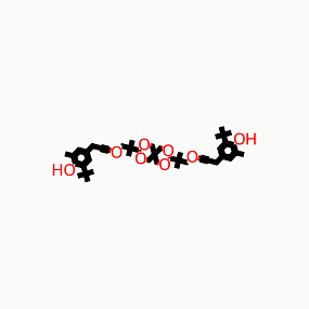 Cc1cc(CC#COCC(C)(C)C2OCC3(CO2)COC(C(C)(C)COC#CCc2cc(C)c(O)c(C(C)(C)C)c2)OC3)cc(C(C)(C)C)c1O